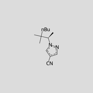 CCCCC(C)(C)[C@@H](C)n1cc(C#N)cn1